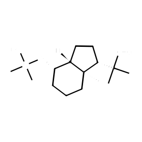 CC(C)(C=O)[C@H]1CC[C@H]2[C@@H](O[Si](C)(C)C(C)(C)C)CCC[C@]12C